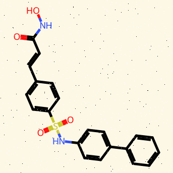 O=C(C=Cc1ccc(S(=O)(=O)Nc2ccc(-c3ccccc3)cc2)cc1)NO